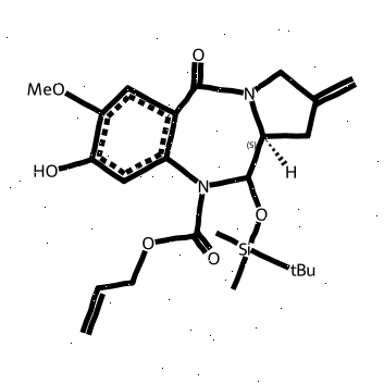 C=CCOC(=O)N1c2cc(O)c(OC)cc2C(=O)N2CC(=C)C[C@H]2C1O[Si](C)(C)C(C)(C)C